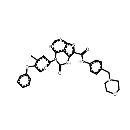 Cc1cc(N2C(=O)Nc3c(C(=O)Nc4ccc(CN5CCOCC5)cc4)sc4ncnc2c34)ccc1Oc1ccccc1